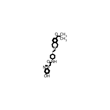 CC(C)C(=O)c1ccc2c(c1)CCN(CC[C@H]1CC[C@H](NC(=O)Cn3cnc4cc(O)ccc43)CC1)CC2